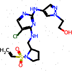 C=CS(=O)(=O)N1CCCC1CNc1nc(Nc2cnn(CCO)c2)ncc1Cl